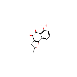 CC1CC2=C(O1)c1cccc(O)c1C(=O)C2=O